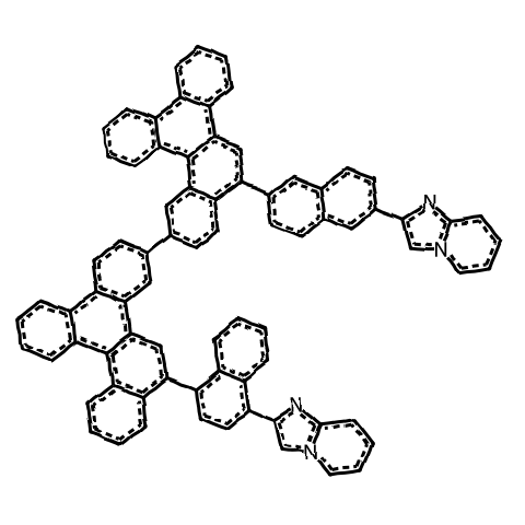 c1ccc2c(-c3cc4c5cc(-c6ccc7c(-c8ccc9cc(-c%10cn%11ccccc%11n%10)ccc9c8)cc8c9ccccc9c9ccccc9c8c7c6)ccc5c5ccccc5c4c4ccccc34)ccc(-c3cn4ccccc4n3)c2c1